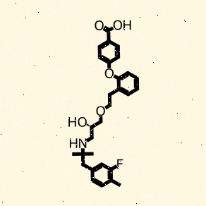 Cc1ccc(CC(C)(C)NC[C@H](O)COCCc2ccccc2Oc2ccc(C(=O)O)cc2)cc1F